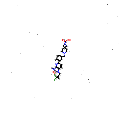 Cc1ccc(CN2CCC3(CC2)CN(C(=O)O)C3)cc1-c1ccc2c(n1)N(C)S(=O)(=O)N2CC1CC1(F)F